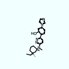 CC[C@@]1(C)CCC[C@@H](N(C)c2ccc(-c3ccc(-n4ccnc4)cc3O)nn2)C1